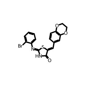 O=C1N/C(=N/c2ccccc2Br)S/C1=C\c1ccc2c(c1)OCCO2